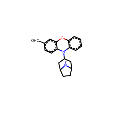 CN1C2CCC1CC(N1c3ccccc3Oc3cc(C=O)ccc31)C2